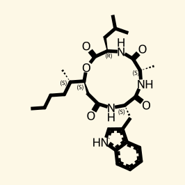 CCCC[C@H](C)[C@@H]1CC(=O)N[C@@H](Cc2c[nH]c3ccccc23)C(=O)N[C@@H](C)C(=O)N[C@H](CC(C)C)C(=O)O1